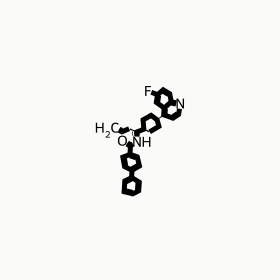 C=CC[C@@H](NC(=O)c1ccc(-c2ccccc2)cc1)[C@H]1CC[C@@H](c2ccnc3ccc(F)cc32)CC1